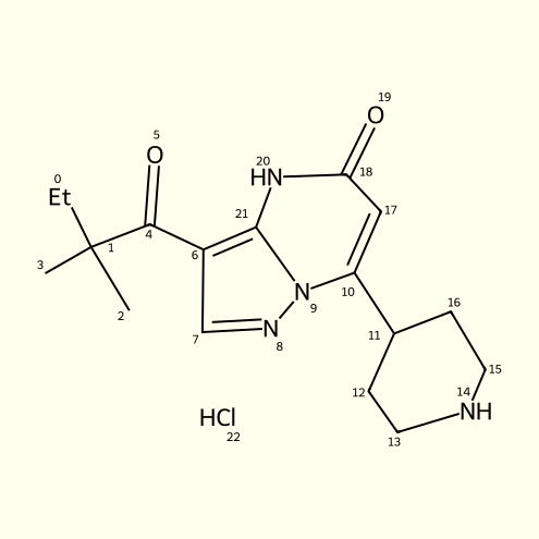 CCC(C)(C)C(=O)c1cnn2c(C3CCNCC3)cc(=O)[nH]c12.Cl